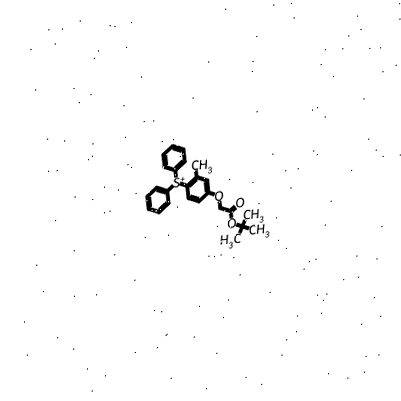 Cc1cc(OCC(=O)OC(C)(C)C)ccc1[S+](c1ccccc1)c1ccccc1